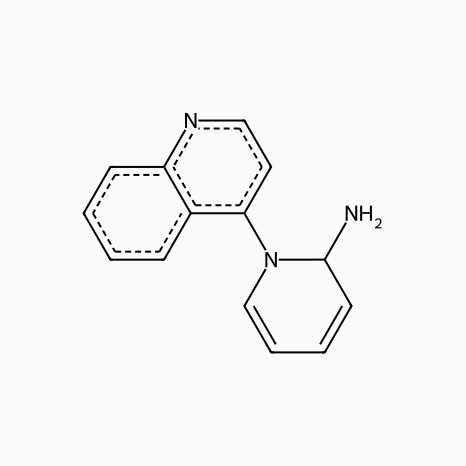 NC1C=CC=CN1c1ccnc2ccccc12